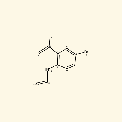 C=C(C)c1cc(Br)ccc1NC=O